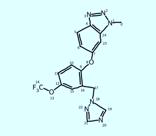 Cn1nnc2ccc(Oc3ccc(OC(F)(F)F)cc3Cn3cncn3)cc21